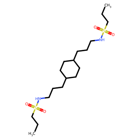 CCCS(=O)(=O)NCCCC1CCC(CCCNS(=O)(=O)CCC)CC1